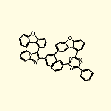 c1ccc(-c2nc(-c3ccccc3)nc(-c3cccc4oc5ccc(-c6cccc(-c7nc8ccccn8c7-c7cccc8oc9ccccc9c78)c6)cc5c34)n2)cc1